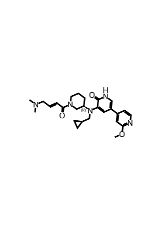 COc1cc(-c2c[nH]c(=O)c(N(CC3CC3)[C@@H]3CCCN(C(=O)C=CCN(C)C)C3)c2)ccn1